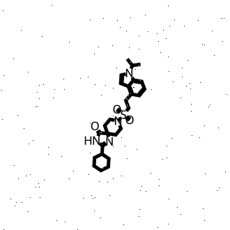 CC(C)n1ccc2c(CCS(=O)(=O)N3CCC4(CC3)N=C(C3CCCCC3)NC4=O)cccc21